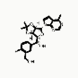 Cc1ncnc2c1ccn2[C@@H]1O[C@H]([C@H](O)c2ccc(F)c(CO)c2)[C@H]2OC(C)(C)O[C@H]21